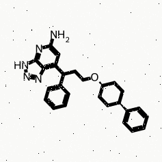 Nc1cc(C(CCO[C@H]2CC[C@H](c3ccccc3)CC2)c2ccccc2)c2nn[nH]c2n1